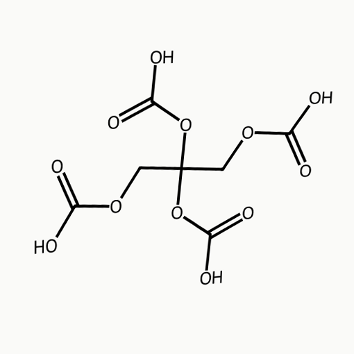 O=C(O)OCC(COC(=O)O)(OC(=O)O)OC(=O)O